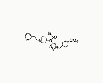 CCC(=O)N(c1cn(Cc2ccc(OC)cc2)nn1)C1CCN(CCc2ccccc2)CC1